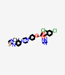 CN1CCSC1=Nc1ccc(N2CCN(c3ccc(OC[C@@H]4CO[C@@](Cn5cncn5)(c5ccc(Cl)cc5Cl)O4)cc3)CC2)cc1